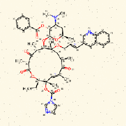 CC[C@H]1OC(=O)[C@H](C)C(=O)[C@H](C)[C@@H](O[C@@H]2O[C@H](C)C[C@H](N(C)C)[C@H]2OC(=O)c2ccccc2)[C@](C)(OC/C=C/c2cnc3ccccc3c2)C[C@@H](C)C(=O)/C(C)=C/[C@]1(C)OC(=O)n1ccnc1